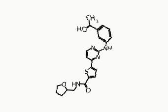 CC(O)c1cccc(Nc2nccc(-c3ccc(C(=O)NCC4CCCO4)s3)n2)c1